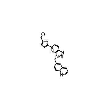 O=Cc1ccc(-c2ccc3nnn(Cc4ccc5ncccc5c4)c3n2)s1